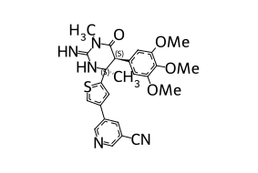 COc1cc([C@@H]2C(=O)N(C)C(=N)N[C@]2(C)c2cc(-c3cncc(C#N)c3)cs2)cc(OC)c1OC